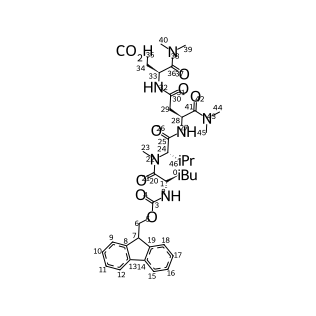 CC[C@H](C)[C@H](NC(=O)OCC1c2ccccc2-c2ccccc21)C(=O)N(C)[C@H](C(=O)N[C@@H](CC(=O)N[C@@H](CC(=O)O)C(=O)N(C)C)C(=O)N(C)C)C(C)C